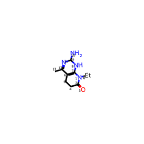 CCN1C(=O)CCC2=C1NC(N)N=C2C